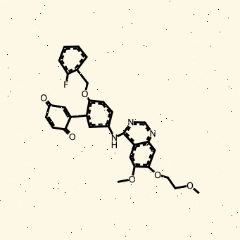 COCCOc1cc2ncnc(Nc3ccc(OCc4ccccc4F)c(C4=CC(=O)C=CC4=O)c3)c2cc1OC